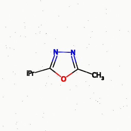 Cc1nnc(C(C)C)o1